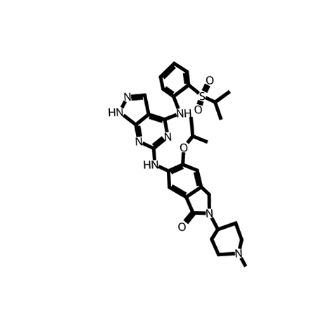 CC(C)Oc1cc2c(cc1Nc1nc(Nc3ccccc3S(=O)(=O)C(C)C)c3cn[nH]c3n1)C(=O)N(C1CCN(C)CC1)C2